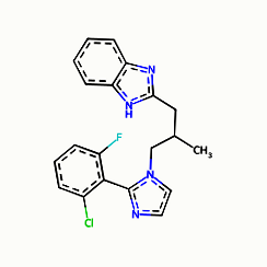 CC(Cc1nc2ccccc2[nH]1)Cn1ccnc1-c1c(F)cccc1Cl